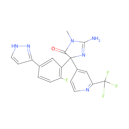 CN1C(=O)C(c2ccnc(C(F)(F)F)c2)(c2cc(-c3cc[nH]n3)ccc2F)N=C1N